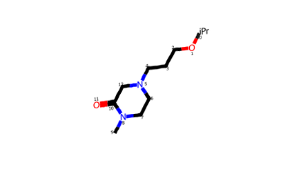 CC(C)OCCCN1CCN(C)C(=O)C1